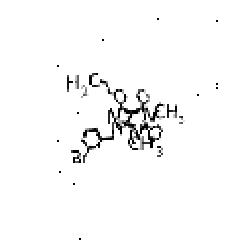 C=CCOc1nn(Cc2cccc(Br)c2)c2c1c(=O)n(C)c(=O)n2C